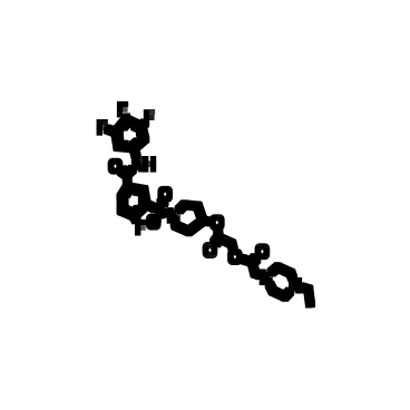 CCN1CCN(CC(=O)OCC(=O)OC2CCN(S(=O)(=O)c3cc(C(=O)Nc4cc(F)c(F)c(F)c4)ccc3F)CC2)CC1